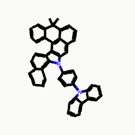 CC1(C)c2ccccc2-c2c3c1cccc3cc1c2c2ccc3ccccc3c2n1-c1ccc(-n2c3ccccc3c3ccccc32)cc1